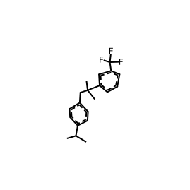 CC(C)c1ccc(CC(C)(C)c2cccc(C(F)(F)F)c2)cc1